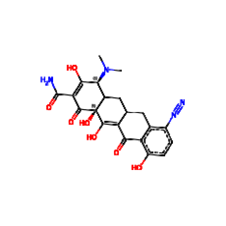 CN(C)[C@@H]1C(O)=C(C(N)=O)C(=O)[C@@]2(O)C(O)=C3C(=O)c4c(O)ccc([N+]#N)c4CC3CC12